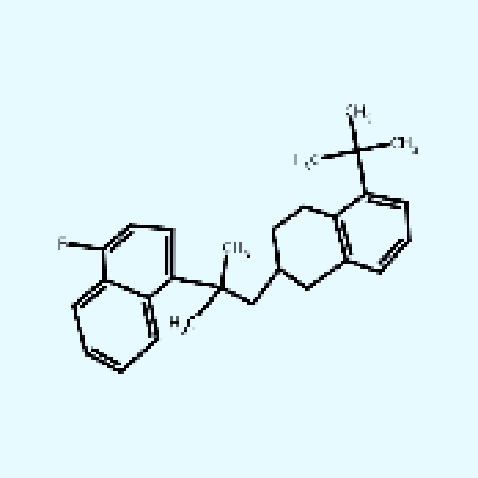 CC(C)(C)c1cccc2c1CCC(CC(C)(C)c1ccc(F)c3ccccc13)C2